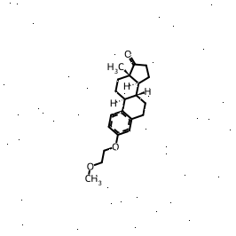 COCCOc1ccc2c(c1)CC[C@@H]1[C@@H]2CC[C@]2(C)C(=O)CC[C@@H]12